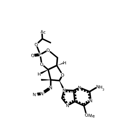 COc1nc(N)nc2c1ncn2[C@@H]1O[C@@H]2COP(=O)(OC(C)C(C)=O)O[C@H]2[C@@]1(C)N=[N+]=[N-]